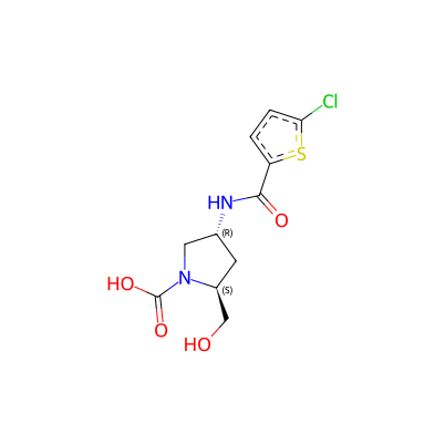 O=C(N[C@@H]1C[C@@H](CO)N(C(=O)O)C1)c1ccc(Cl)s1